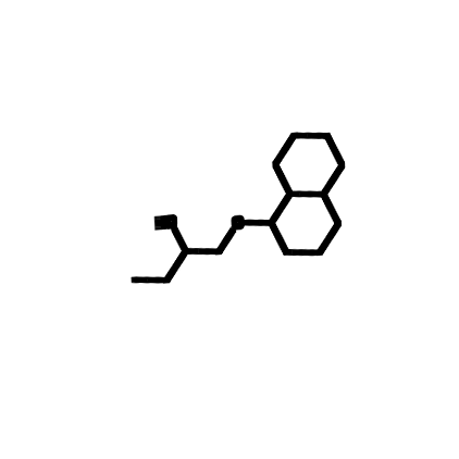 CCC(O)COC1CCCC2CCCCC21